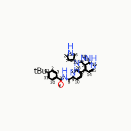 CC(C)(C)c1ccc(C(=O)NCc2ccc(-c3ccnc4[nH]nc(NC5CCNC5)c34)cn2)cc1